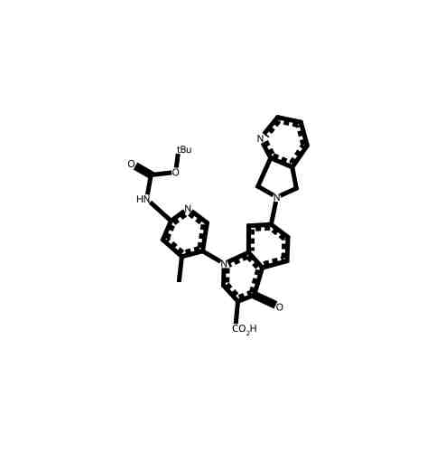 Cc1cc(NC(=O)OC(C)(C)C)ncc1-n1cc(C(=O)O)c(=O)c2ccc(N3Cc4cccnc4C3)cc21